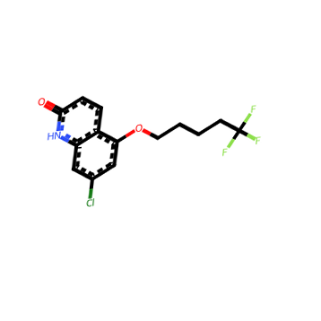 O=c1ccc2c(OCCCCC(F)(F)F)cc(Cl)cc2[nH]1